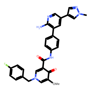 COc1cn(Cc2ccc(F)cc2)cc(C(=O)Nc2ccc(-c3cc(-c4cnn(C)c4)cnc3N)cc2)c1=O